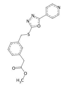 COC(=O)Cc1cccc(CSc2nnc(-c3ccncc3)o2)c1